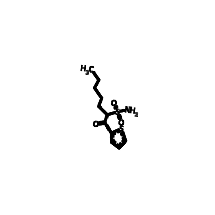 CCCCCC(C(=O)c1cccs1)S(N)(=O)=O